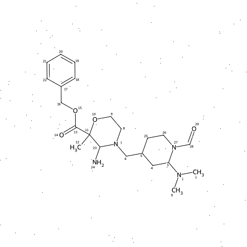 CN(C)C1CC(CN2CCOC(C)(C(=O)OCc3ccccc3)C2N)CCN1C=O